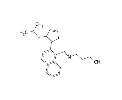 CCCCN=Cc1c(C2=C(CN(C)C)C=CC2)ccc2ccccc12